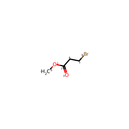 [CH2]OC(=O)CCBr